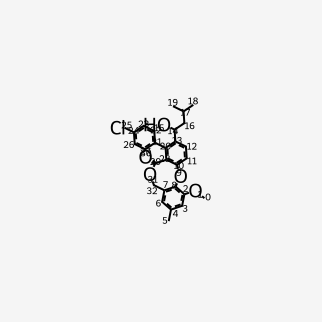 COc1cc(C)cc2c1Oc1ccc(C(O)CC(C)C)c(-c3ccc(Cl)cc3)c1C(=O)OC2